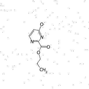 CCCOC(=O)c1nccc([O])n1